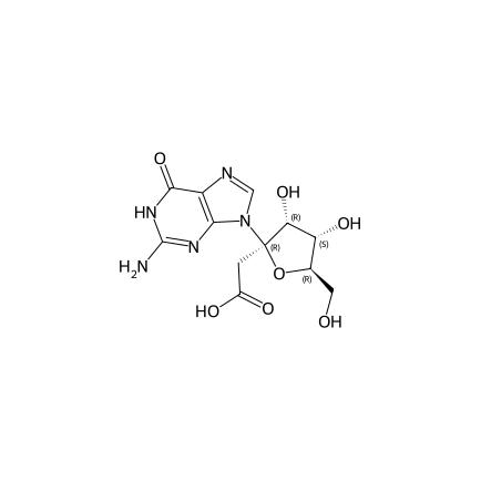 Nc1nc2c(ncn2[C@]2(CC(=O)O)O[C@H](CO)[C@@H](O)[C@H]2O)c(=O)[nH]1